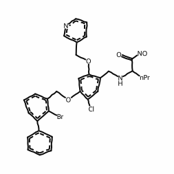 CCCC(NCc1cc(Cl)c(OCc2cccc(-c3ccccc3)c2Br)cc1OCc1cccnc1)C(=O)N=O